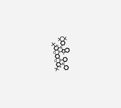 CC(C)(C)c1cc2c3c(n1)N(c1ccccc1)c1ccccc1B3c1cc3c(cc1O2)Oc1cc(C(C)(C)C)nc2c1B3c1sc3ccccc3c1N2c1ccc2c(c1)C(C)(C)CCC2(C)C